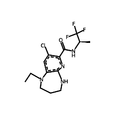 CCN1CCCNc2nc(C(=O)N[C@H](C)C(F)(F)F)c(Cl)cc21